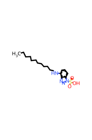 CCCCCCCCCCCCNc1cccc2c1nnn2S(=O)(=O)O